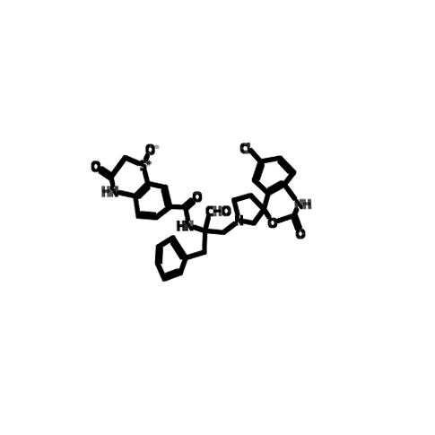 O=CC(Cc1ccccc1)(CN1CCC2(C1)OC(=O)Nc1ccc(Cl)cc12)NC(=O)c1ccc2c(c1)[S+]([O-])CC(=O)N2